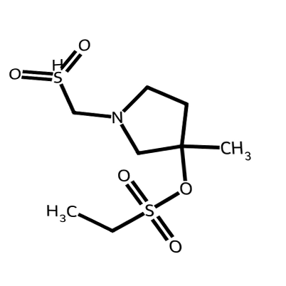 CCS(=O)(=O)OC1(C)CCN(C[SH](=O)=O)C1